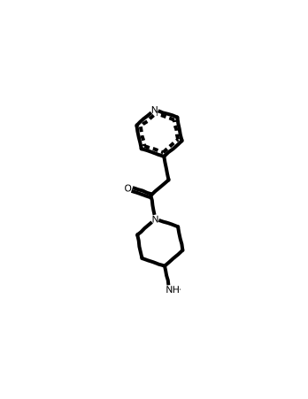 [NH]C1CCN(C(=O)Cc2ccncc2)CC1